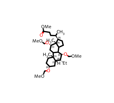 CC[C@H]1[C@@H](OCOC)C2C3CC[C@H](C(C)CCC(=O)OC)[C@@]3(C)[C@@H](OCOC)CC2[C@@]2(C)CC[C@@H](OCOC)C[C@@H]12